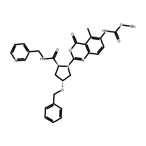 Cc1c(NC(=O)OC(C)(C)C)ccc2nc(N3C[C@H](OCc4ccccc4)C[C@H]3C(=O)NCc3cccnc3)oc(=O)c12